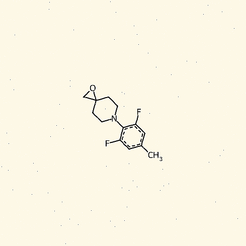 Cc1cc(F)c(N2CCC3(CC2)CO3)c(F)c1